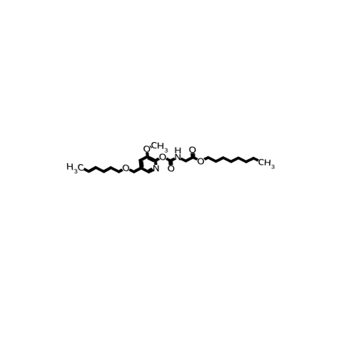 CCCCCCCCOC(=O)CNC(=O)Oc1ncc(COCCCCCC)cc1OC